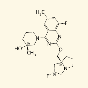 Cc1cc(F)c2nc(OC[C@@]34CCCN3C[C@H](F)C4)nc(N3CCC[C@@](C)(O)C3)c2c1